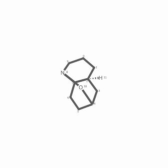 C1C[C@H]2CC3CCC2N(C1)O3